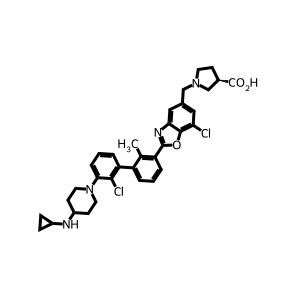 Cc1c(-c2nc3cc(CN4CC[C@@H](C(=O)O)C4)cc(Cl)c3o2)cccc1-c1cccc(N2CCC(NC3CC3)CC2)c1Cl